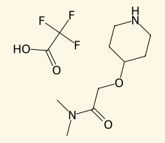 CN(C)C(=O)COC1CCNCC1.O=C(O)C(F)(F)F